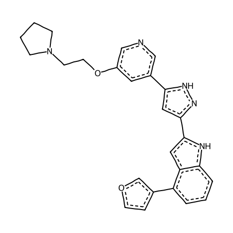 c1cc(-c2ccoc2)c2cc(-c3cc(-c4cncc(OCCN5CCCC5)c4)[nH]n3)[nH]c2c1